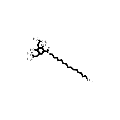 CCCCCCCCCCCCCCCCOC(=O)c1cc(CC(C)C)c(O)c(CC(C)C)c1O